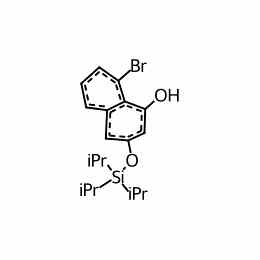 CC(C)[Si](Oc1cc(O)c2c(Br)cccc2c1)(C(C)C)C(C)C